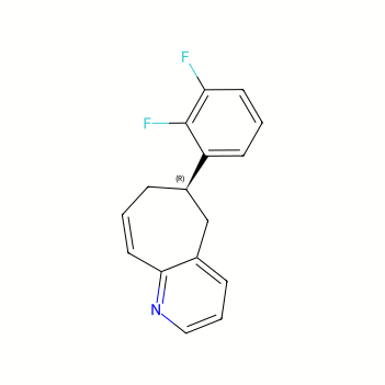 Fc1cccc([C@@H]2CC=Cc3ncccc3C2)c1F